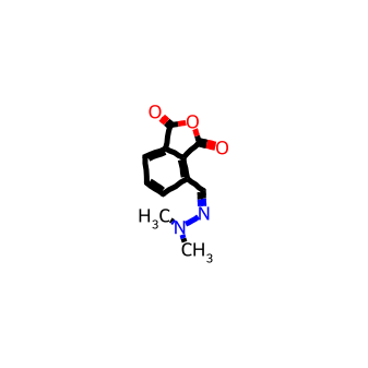 CN(C)/N=C\c1cccc2c1C(=O)OC2=O